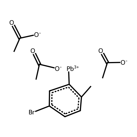 CC(=O)[O-].CC(=O)[O-].CC(=O)[O-].Cc1ccc(Br)c[c]1[Pb+3]